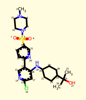 CN1CCN(S(=O)(=O)c2ccc(-c3cnc(Cl)cc3NC3CCC(C(C)(C)O)CC3)nc2)CC1